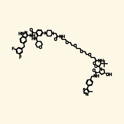 Cc1ncsc1-c1ccc(CNC(=O)[C@@H]2C[C@@H](O)CN2C(=O)[C@@H](NC(=O)CCOCCOCCOCCOCCNC(=O)CN2CCN(c3ccc(C(=O)Nc4n[nH]c5ccc(Cc6cc(F)cc(F)c6)cc45)c(NC4CCOCC4)c3)CC2)C(C)(C)C)cc1